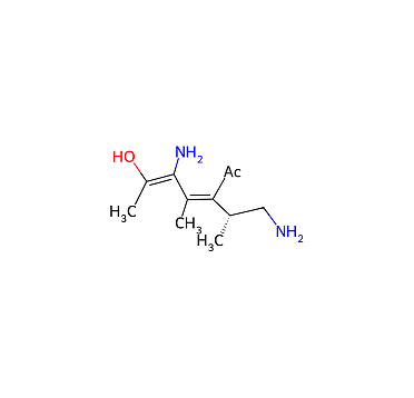 CC(=O)/C(=C(C)\C(N)=C(/C)O)[C@@H](C)CN